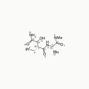 CNC(=O)[C@@H](NC(=O)[C@H](CC(C)C)C(O)C(N)=O)C(C)(C)C